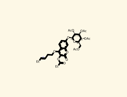 CC/C=C/CCOc1c(OC(=O)CC)c(=O)oc2cc(O[C@@H]3O[C@H](COC(C)=O)[C@@H](OC(C)=O)[C@H](OC(C)=O)[C@H]3OC(C)=O)ccc12